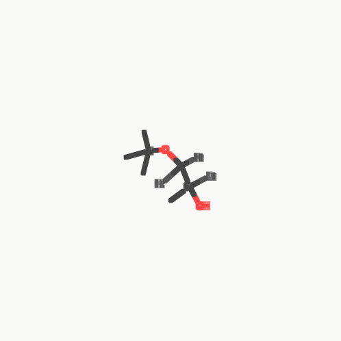 CCC(CC)(O[Si](C)(C)C)[Si](C)(O)CC